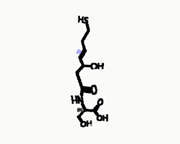 O=C(CC(O)/C=C/CCS)N[C@H](CO)C(=O)O